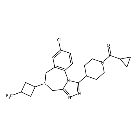 O=C(C1CC1)N1CCC(c2nnc3n2-c2ccc(Cl)cc2CN(C2CC(C(F)(F)F)C2)C3)CC1